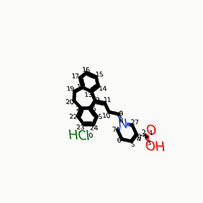 Cl.O=C(O)[C@@H]1CCCN(CCC=C2c3ccccc3CCc3ccccc32)C1